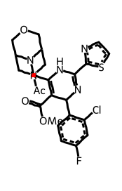 COC(=O)C1=C(CN2C3COCC2CN(C(C)=O)C3)NC(c2nccs2)=NC1c1ccc(F)cc1Cl